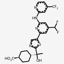 CC(O)(c1ncc(-c2cc(C(F)F)cc(Nc3cc(C(F)(F)F)ccn3)n2)s1)[C@H]1CC[C@H](C(=O)O)CC1